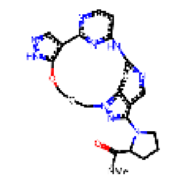 CNC(=O)C1CCCN1c1nn2c3cc(ncc13)Nc1ccnc(n1)-c1cn[nH]c1OCCC2